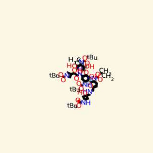 C=C(C)OC(=O)N[C@@H]1CC=C(CNCC2(O)CC(NC(=O)OC(C)(C)C)C2)OC1[C@H]1[C@H](O)[C@@H](O[C@H]2OC[C@](C)(O)[C@H](N(C)C(=O)OC(C)(C)C)[C@H]2O)[C@H](NC(=O)C(O)C2CN(C(=O)OC(C)(C)C)C2)C[C@@H]1NC(=O)OC(C)(C)C